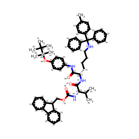 Cc1ccc(C(NCCCC[C@H](NC(=O)[C@@H](NC(=O)OCC2c3ccccc3-c3ccccc32)C(C)C)C(=O)Nc2ccc(O[Si](C)(C)C(C)(C)C)cc2)(c2ccccc2)c2ccccc2)cc1